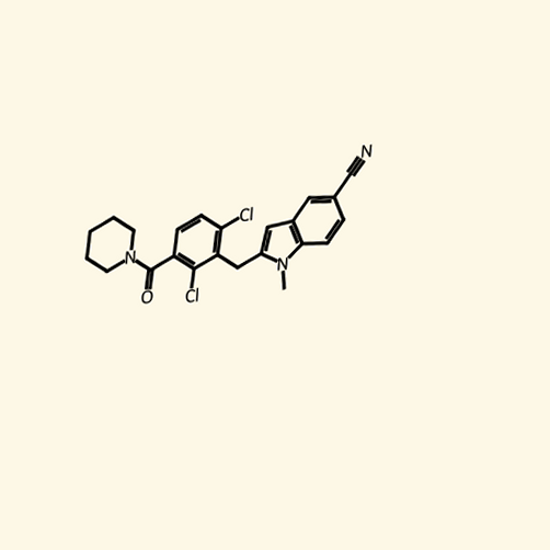 Cn1c(Cc2c(Cl)ccc(C(=O)N3CCCCC3)c2Cl)cc2cc(C#N)ccc21